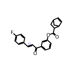 O=C(/C=C/c1ccc(F)cc1)c1cccc(OC(=O)C2CC3C=CC2C3)c1